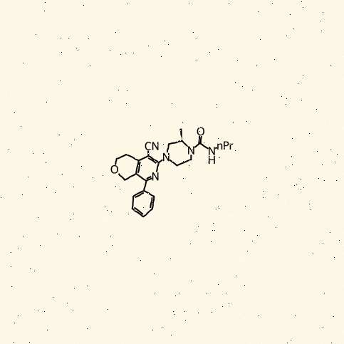 CCCNC(=O)N1CCN(c2nc(-c3ccccc3)c3c(c2C#N)CCOC3)C[C@H]1C